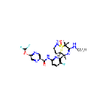 CC1(C)C(NC(=O)O)=N[C@](C)(c2nc(NC(=O)c3cnc(OC(F)F)cn3)ccc2F)[C@@H]2CCN[SH]21=O